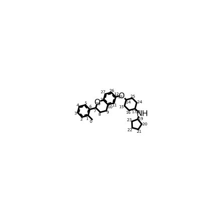 Cc1ccccc1C1CCc2cc(OC3CCC(NC4CCCC4)CC3)ccc2O1